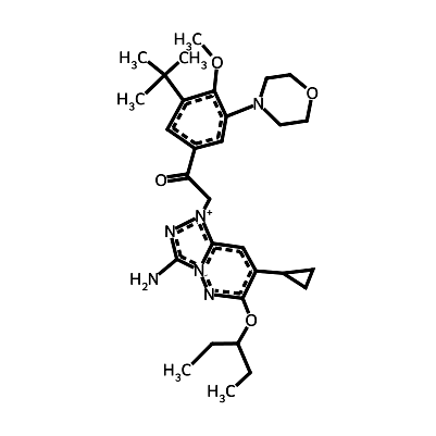 CCC(CC)Oc1nn2c(N)n[n+](CC(=O)c3cc(N4CCOCC4)c(OC)c(C(C)(C)C)c3)c2cc1C1CC1